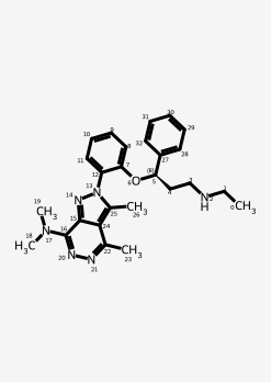 CCNCC[C@@H](Oc1ccccc1-n1nc2c(N(C)C)nnc(C)c2c1C)c1ccccc1